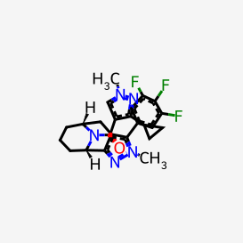 Cn1cc(C(=O)N2[C@@H]3CCC[C@H]2c2nn(C)c(-c4cc(F)c(F)c(F)c4)c2C3)c(C2CC2)n1